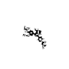 CCC[C@H](C)OC(=O)Nc1ccc(-c2nc(C3CCN(C(=O)CN(C)C)CC3)n3ccnc(C)c23)cc1OC